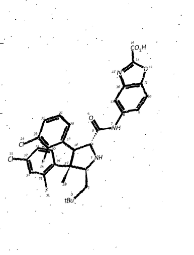 CC(C)(C)C[C@@H]1N[C@@H](C(=O)Nc2ccc3oc(C(=O)O)nc3c2)C(c2cccc(Cl)c2F)[C@@]1(C)c1ccc(Cl)cc1F